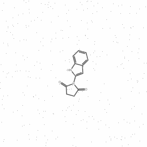 O=C1CCC(=O)N1c1cc2ccccc2[nH]1